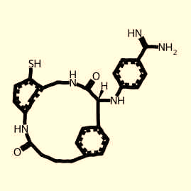 N=C(N)c1ccc(N[C@H]2C(=O)NCc3cc(ccc3S)NC(=O)CCCc3ccc2cc3)cc1